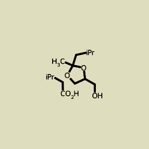 CC(C)CC(=O)O.CC(C)CC1(C)OCC(CO)O1